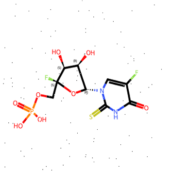 O=c1[nH]c(=S)n([C@@H]2O[C@](F)(COP(=O)(O)O)[C@@H](O)[C@H]2O)cc1F